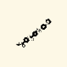 CCOC(=O)c1ccc(OC(=O)c2ccc(N=Nc3ccc(N4CCCC4)cc3)cc2)cc1